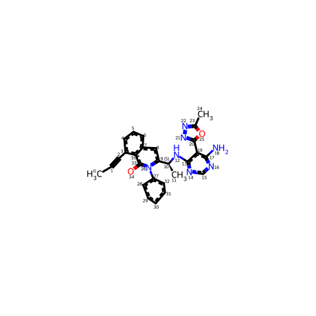 CC#Cc1cccc2cc([C@H](C)Nc3ncnc(N)c3-c3nnc(C)o3)n(-c3ccccc3)c(=O)c12